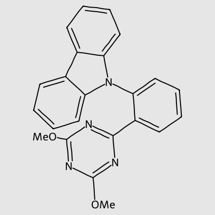 COc1nc(OC)nc(-c2ccccc2-n2c3ccccc3c3ccccc32)n1